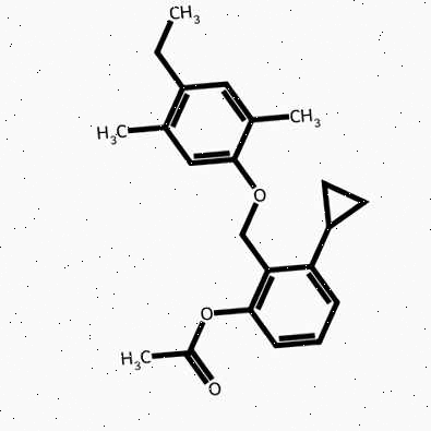 CCc1cc(C)c(OCc2c(OC(C)=O)cccc2C2CC2)cc1C